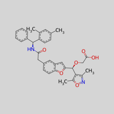 Cc1ccc([C@@H](NC(=O)Cc2ccc3oc([C@@H](OCC(=O)O)c4c(C)noc4C)cc3c2)c2ccccc2)c(C)c1